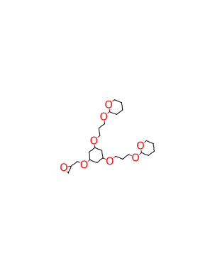 C1CCC(OCCCOC2CC(OCCCOC3CCCCO3)CC(OCC3CO3)C2)OC1